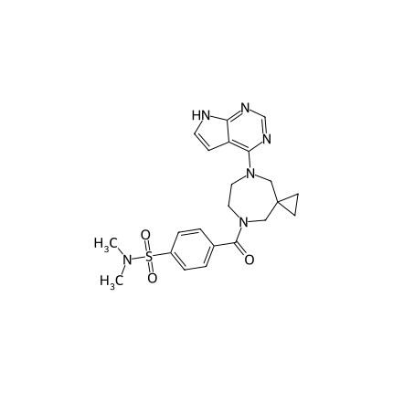 CN(C)S(=O)(=O)c1ccc(C(=O)N2CCN(c3ncnc4[nH]ccc34)CC3(CC3)C2)cc1